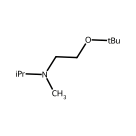 CC(C)N(C)CCOC(C)(C)C